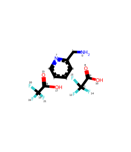 NCc1ccccn1.O=C(O)C(F)(F)F.O=C(O)C(F)(F)F